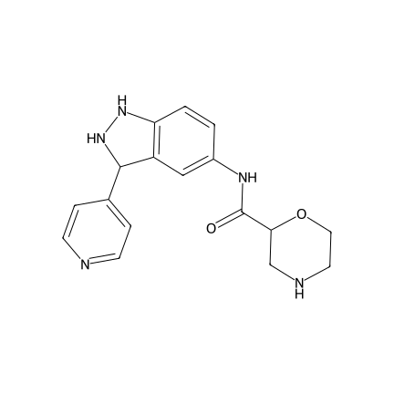 O=C(Nc1ccc2c(c1)C(c1ccncc1)NN2)C1CNCCO1